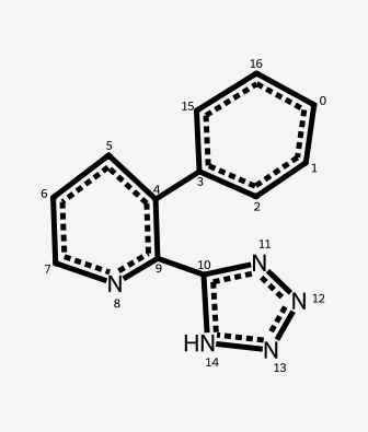 c1ccc(-c2cccnc2-c2nnn[nH]2)cc1